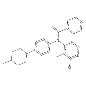 C=C(c1ccccc1)N(c1ccc(C2CCC(C)CC2)cc1)c1ncnc(Cl)c1C